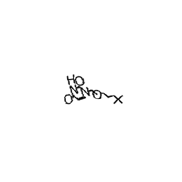 CC(C)(C)CCCOCn1ccc(=O)[nH]c1=O